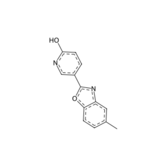 Cc1ccc2oc(-c3ccc(O)nc3)nc2c1